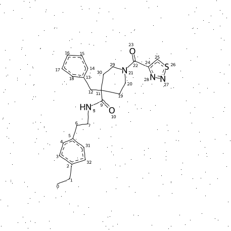 CCc1ccc(CCNC(=O)C2(Cc3ccccc3)CCN(C(=O)c3csnn3)CC2)cc1